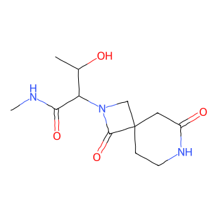 CNC(=O)C(C(C)O)N1CC2(CCNC(=O)C2)C1=O